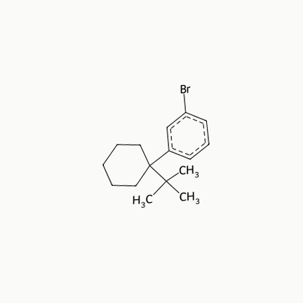 CC(C)(C)C1(c2cccc(Br)c2)CCCCC1